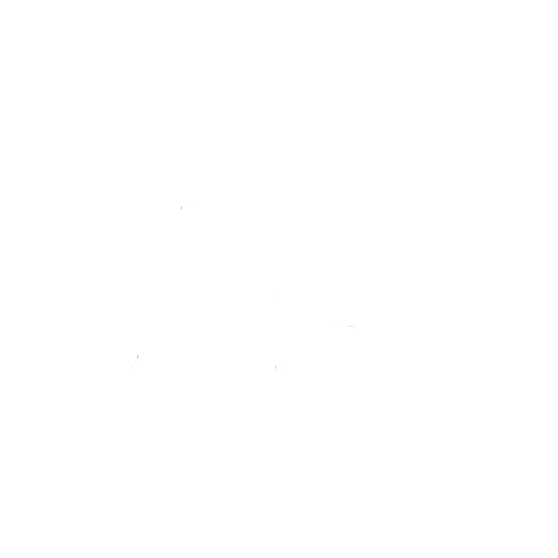 [CH2]c1cc(CC(C)=O)c2coccc1-2